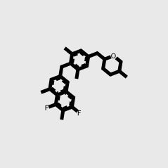 Cc1cc(CC2CCC(C)CO2)cc(C)c1Cc1cc(C)c2c(F)c(C)c(F)cc2c1